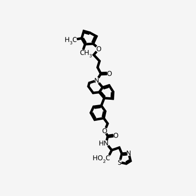 Cc1cccc(OCCCC(=O)N2CCCc3c(-c4cccc(COC(=O)NC(Cc5nccs5)C(=O)O)c4)cccc32)c1C